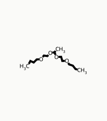 CCCCOCCO[C](C)OCCOCCCC